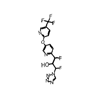 OC(C(F)c1ccc(Oc2ccc(C(F)(F)F)cn2)cn1)C(F)n1cnnn1